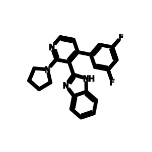 Fc1cc(F)cc(-c2ccnc(N3CCCC3)c2-c2nc3ccccc3[nH]2)c1